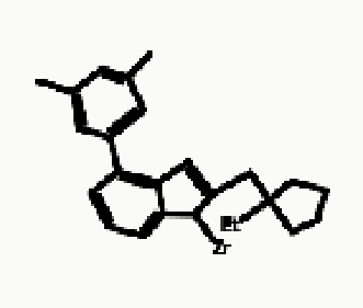 CCC1(CC2=Cc3c(-c4cc(C)cc(C)c4)cccc3[CH]2[Zr])CCCC1